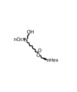 CCCCCCC#CCCOC(=O)CCCCCCCN(CCCO)CCCCCCCC